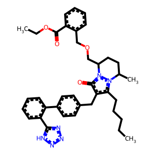 CCCCCc1c(Cc2ccc(-c3ccccc3-c3nnn[nH]3)cc2)c(=O)n2n1C(C)CCC2COCc1ccccc1C(=O)OCC